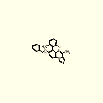 Cc1cccc(Cl)c1-c1c(NCc2ccccc2)ccc2c1nc(N)c1cncn12